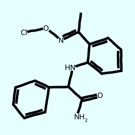 CC(=NOCl)c1ccccc1NC(C(N)=O)c1ccccc1